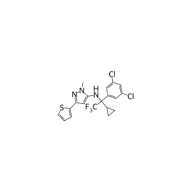 Cn1nc(-c2cccs2)cc1NC(c1cc(Cl)cc(Cl)c1)(C1CC1)C(F)(F)F